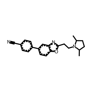 CC1CCC(C)N1CCc1nc2cc(-c3ccc(C#N)cc3)ccc2o1